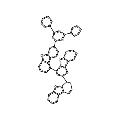 C1=Cc2c(oc3ccccc23)C(c2cc(-c3cccc4oc5cc(-c6nc(-c7ccccc7)nc(-c7ccccc7)n6)ccc5c34)c3sc4ccccc4c3c2)C1